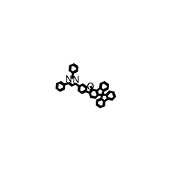 c1ccc(-c2cc(-c3ccc4c(c3)oc3c5c(ccc34)C3(c4ccccc4-c4ccccc43)c3ccccc3-5)nc(-c3ccccc3)n2)cc1